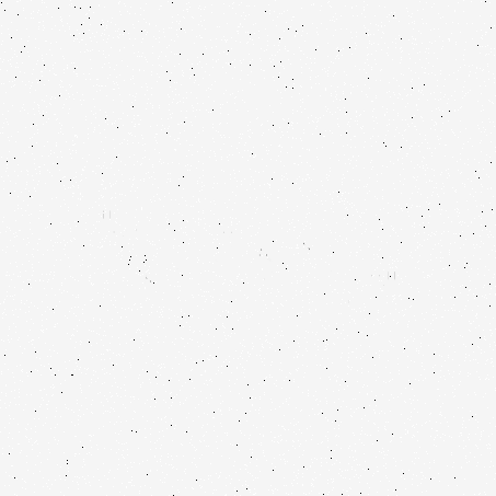 CCC(C(=O)O)C1CN=C(c2cc3cc(Oc4ccc(CS(C)(=O)=O)nc4)cc(OC4CCOCC4)c3[nH]2)S1